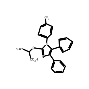 CCCCCCCCC(Sc1nc(-c2ccccc2)c(-c2ccccc2)n1-c1ccc(C(F)(F)F)cc1)C(=O)O